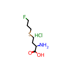 Cl.N[C@H](CCSCCCF)C(=O)O